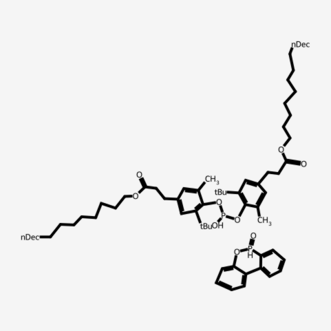 CCCCCCCCCCCCCCCCCCOC(=O)CCc1cc(C)c(OP(O)Oc2c(C)cc(CCC(=O)OCCCCCCCCCCCCCCCCCC)cc2C(C)(C)C)c(C(C)(C)C)c1.O=[PH]1Oc2ccccc2-c2ccccc21